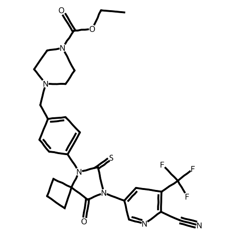 CCOC(=O)N1CCN(Cc2ccc(N3C(=S)N(c4cnc(C#N)c(C(F)(F)F)c4)C(=O)C34CCC4)cc2)CC1